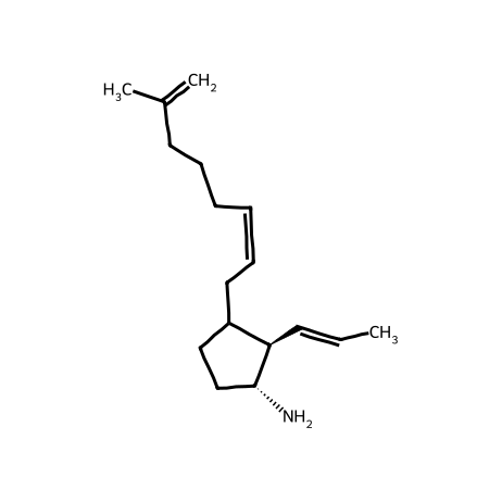 C=C(C)CCC/C=C\CC1CC[C@@H](N)[C@@H]1/C=C/C